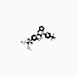 CC(C)S(=O)(=O)c1ccn([C@@H](CC2CCCC2)C(=O)Nc2ccc(C(F)(F)F)cn2)c(=O)c1